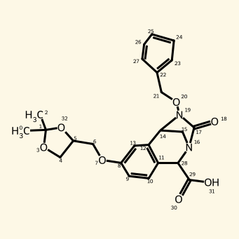 CC1(C)OCC(COc2ccc3c(c2)C2CN(C(=O)N2OCc2ccccc2)C3C(=O)O)O1